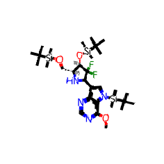 COc1ncnc2c(C3N[C@H](CO[Si](C)(C)C(C)(C)C)[C@@H](O[Si](C)(C)C(C)(C)C)C3(F)F)cn([Si](C)(C)C(C)(C)C)c12